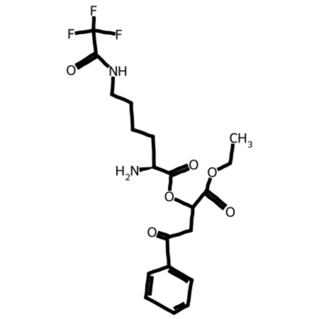 CCOC(=O)C(CC(=O)c1ccccc1)OC(=O)[C@@H](N)CCCCNC(=O)C(F)(F)F